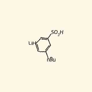 CCCCc1cccc(S(=O)(=O)O)c1.[LiH]